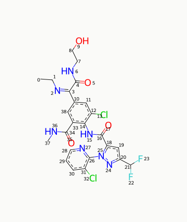 CCN=C(C(=O)NCCO)c1cc(Cl)c(NC(=O)c2cc(C(F)F)nn2-c2ncccc2Cl)c(C(=O)NC)c1